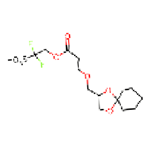 O=C(CCOCC1COC2(CCCCC2)O1)OCC(F)(F)S(=O)(=O)O